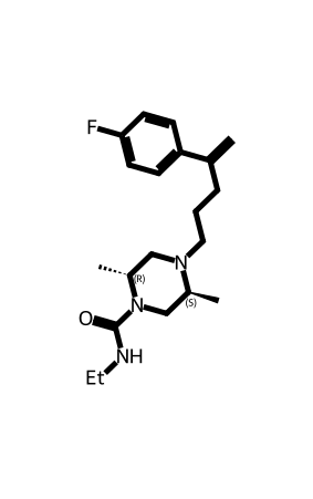 C=C(CCCN1C[C@@H](C)N(C(=O)NCC)C[C@@H]1C)c1ccc(F)cc1